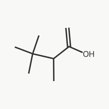 C=C(O)C(C)C(C)(C)C